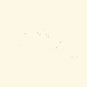 CCOc1ccc(Cc2csc(N3CCC(S(=O)(=O)c4ccc(C)cc4)CC3)n2)cc1